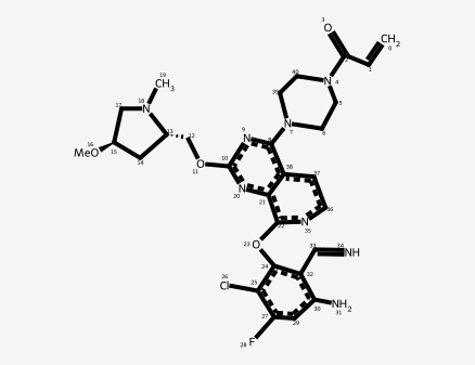 C=CC(=O)N1CCN(c2nc(OC[C@@H]3C[C@@H](OC)CN3C)nc3c(Oc4c(Cl)c(F)cc(N)c4C=N)nccc23)CC1